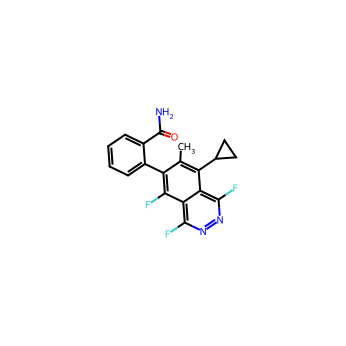 Cc1c(-c2ccccc2C(N)=O)c(F)c2c(F)nnc(F)c2c1C1CC1